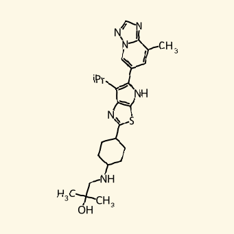 Cc1cc(-c2[nH]c3sc(C4CCC(NCC(C)(C)O)CC4)nc3c2C(C)C)cn2ncnc12